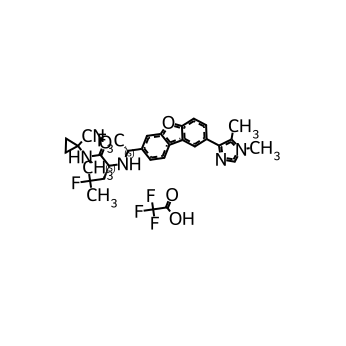 Cc1c(-c2ccc3oc4cc([C@H](N[C@@H](CC(C)(C)F)C(=O)NC5(C#N)CC5)C(F)(F)F)ccc4c3c2)ncn1C.O=C(O)C(F)(F)F